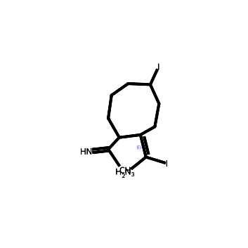 CC(=N)C1CCCC(I)CC/C1=C(/N)I